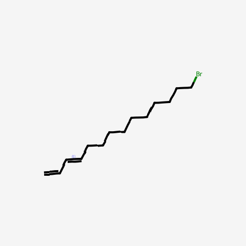 C=C/C=C/CCCCCCCCCCBr